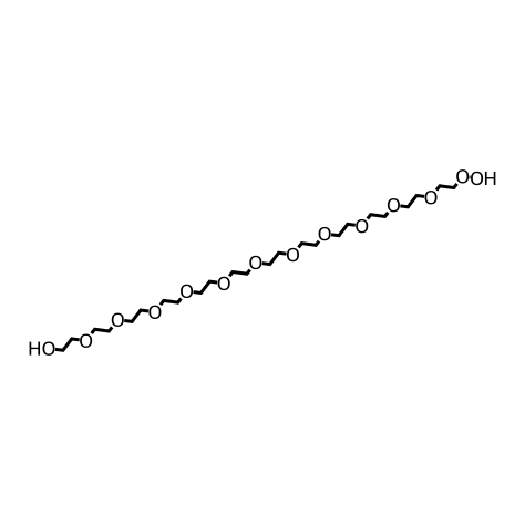 OCCOCCOCCOCCOCCOCCOCCOCCOCCOCCOCCOCCOO